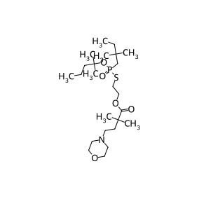 CCCC(C)(C)OP(=O)(CC(C)(C)CC)SCCOC(=O)C(C)(C)CCN1CCOCC1